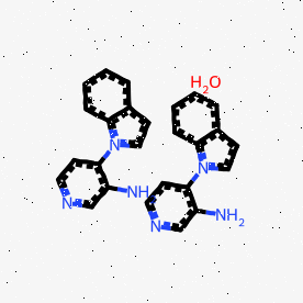 Nc1cnccc1-n1ccc2ccccc21.Nc1cnccc1-n1ccc2ccccc21.O